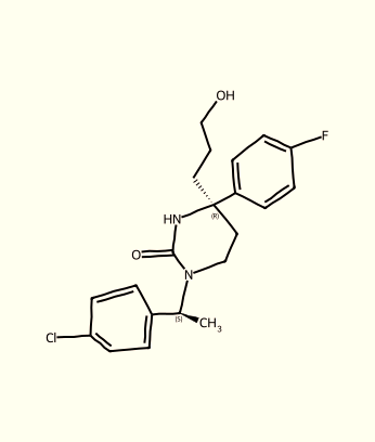 C[C@@H](c1ccc(Cl)cc1)N1CC[C@](CCCO)(c2ccc(F)cc2)NC1=O